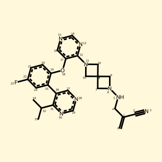 C=C(C#N)CNN1CC2(C1)CN(c1ncncc1Oc1ccc(F)cc1-c1cncnc1C(C)C)C2